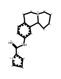 N=C(Nc1ccc2c(c1)C1CCCCN1CC2)c1cccs1